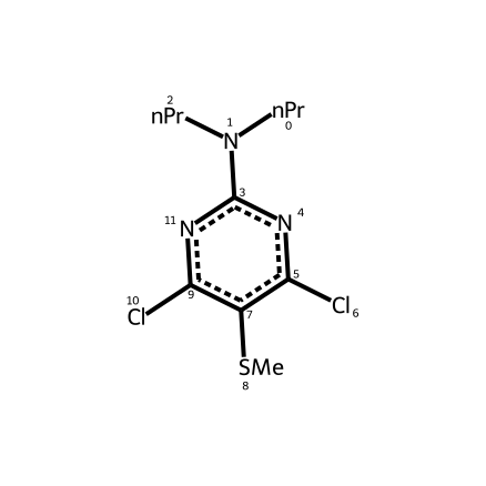 CCCN(CCC)c1nc(Cl)c(SC)c(Cl)n1